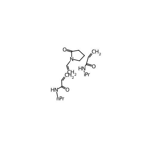 C=CC(=O)NC(C)C.C=CC(=O)NCCC.C=CN1CCCC1=O